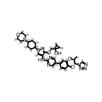 CC(Cn1cnnn1)Oc1cc(-c2cnc(Nc3cn(C4CCC(N5CCOCC5)CC4)nc3OCC3(O)CC3)nc2)ccc1Cl